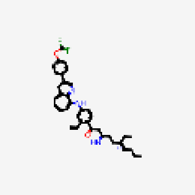 C=Cc1cc(NC2=CC=CC=C3CC(c4ccc(OC(F)F)cc4)=CN=C32)ccc1C(=O)CC(=N)CC/C(=C/CCC)CC